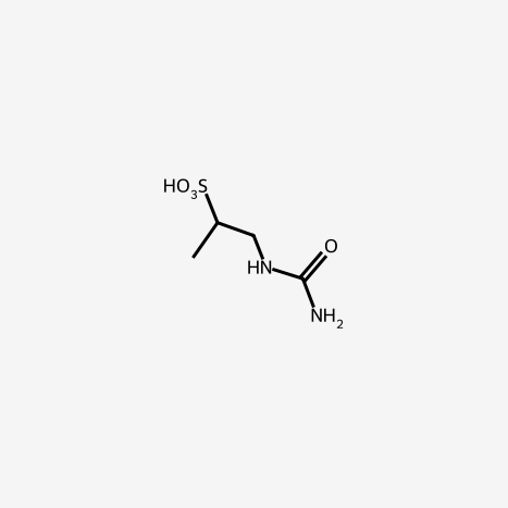 CC(CNC(N)=O)S(=O)(=O)O